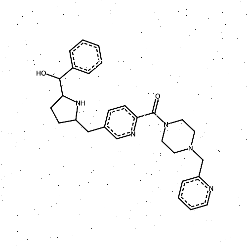 O=C(c1ccc(CC2CCC(C(O)c3ccccc3)N2)cn1)N1CCN(Cc2ccccn2)CC1